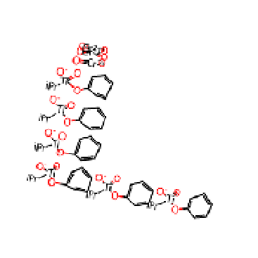 C[CH](C)[Ti](=[O])([O-])[O]c1ccccc1.C[CH](C)[Ti](=[O])([O-])[O]c1ccccc1.C[CH](C)[Ti](=[O])([O-])[O]c1ccccc1.C[CH](C)[Ti](=[O])([O-])[O]c1ccccc1.C[CH](C)[Ti](=[O])([O-])[O]c1ccccc1.C[CH](C)[Ti](=[O])([O-])[O]c1ccccc1.[O]=[Cr+2]=[O].[O]=[Cr+2]=[O].[O]=[Cr+2]=[O]